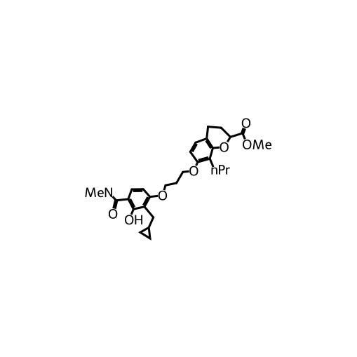 CCCc1c(OCCCOc2ccc(C(=O)NC)c(O)c2CC2CC2)ccc2c1OC(C(=O)OC)CC2